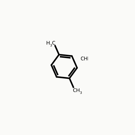 Cc1ccc(C)cc1.[CH]